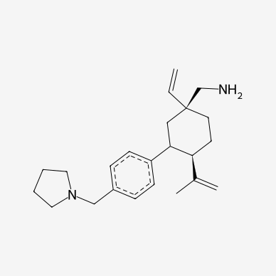 C=C[C@]1(CN)CC[C@@H](C(=C)C)C(c2ccc(CN3CCCC3)cc2)C1